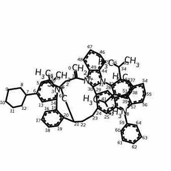 C=C1C[n+]2cc3c(C4CCCCC4)cc2-c2ccccc2C(CCc2cc4c(cc2-c2n(-c5c(C(C)C)cccc5C(C)C)c5ccccc5[n+]21)c1c(C)cccc1n4-c1ccccc1)CC[Si]3(C)C